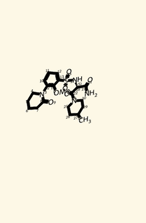 COc1c(N2CCCCC2=O)cccc1S(=O)(=O)N[C@@H](C(N)=O)C(=O)N1CCC(C)CC1